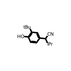 CC(C)C(C#N)c1ccc(O)c(C(C)(C)C)c1